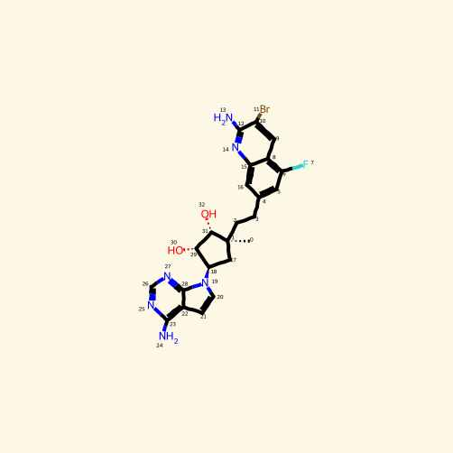 C[C@]1(CCc2cc(F)c3cc(Br)c(N)nc3c2)C[C@@H](n2ccc3c(N)ncnc32)[C@H](O)[C@@H]1O